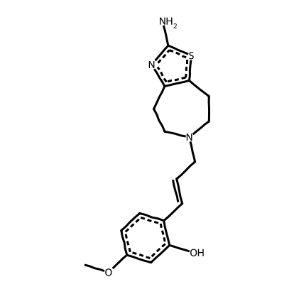 COc1ccc(C=CCN2CCc3nc(N)sc3CC2)c(O)c1